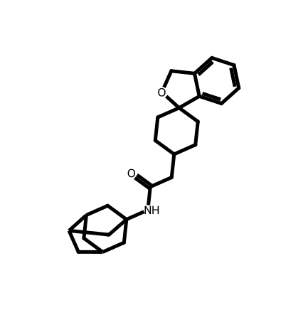 O=C(CC1CCC2(CC1)OCc1ccccc12)NC12CC3CC(C1)C(C3)C2